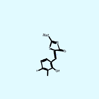 CSC1=NC(=O)/C(=C/c2ccc(F)c(C)c2O)S1